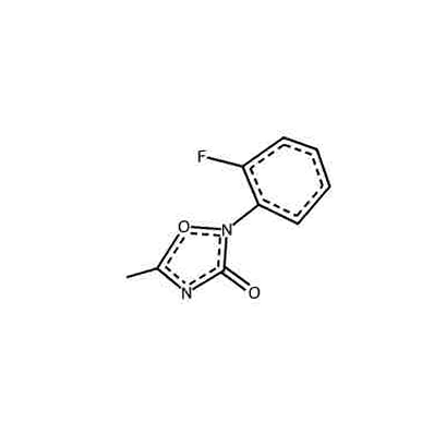 Cc1nc(=O)n(-c2ccccc2F)o1